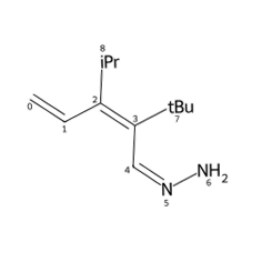 C=C/C(=C(\C=N/N)C(C)(C)C)C(C)C